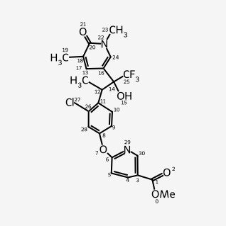 COC(=O)c1ccc(Oc2ccc(C(C)C(O)(c3cc(C)c(=O)n(C)c3)C(F)(F)F)c(Cl)c2)nc1